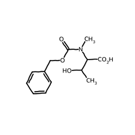 CC(O)C(C(=O)O)N(C)C(=O)OCc1ccccc1